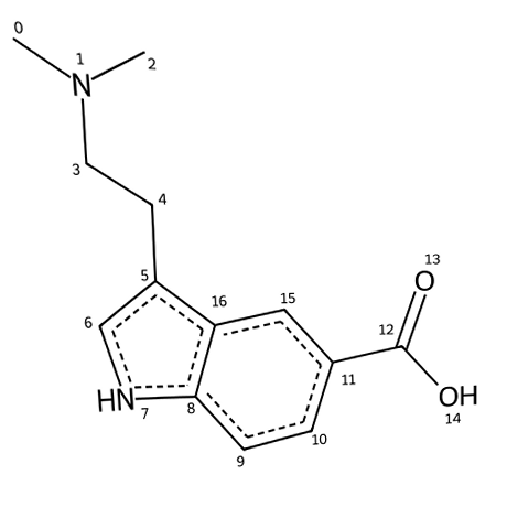 CN(C)CCc1c[nH]c2ccc(C(=O)O)cc12